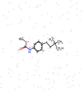 CC(C)(C)OC(=O)Nc1ccc(CCC(C)(C)C(=O)O)cc1